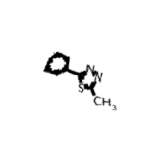 Cc1nnc(-c2c[c]ccc2)s1